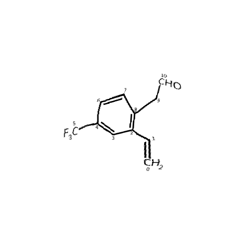 C=Cc1cc(C(F)(F)F)ccc1CC=O